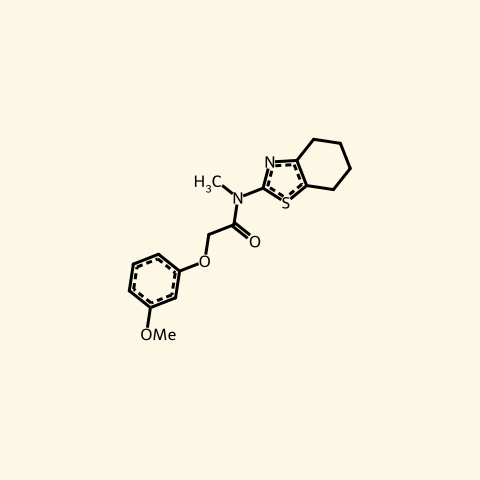 COc1cccc(OCC(=O)N(C)c2nc3c(s2)CCCC3)c1